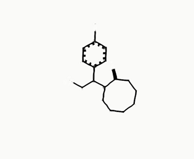 O=C1CCCCCCC1C(C[N+](=O)[O-])c1ccc(Cl)cc1